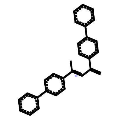 C=C(/C=C(\C)c1ccc(-c2ccccc2)cc1)c1ccc(-c2ccccc2)cc1